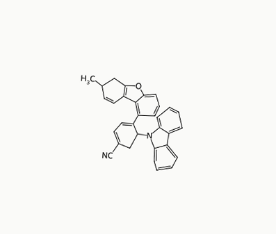 CC1C=Cc2c(oc3cccc(C4=CC=C(C#N)CC4n4c5ccccc5c5ccccc54)c23)C1